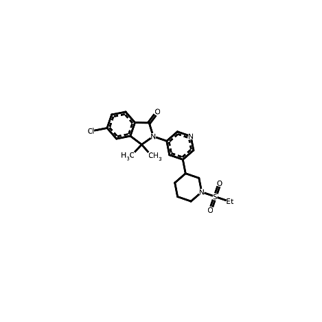 CCS(=O)(=O)N1CCCC(c2cncc(N3C(=O)c4ccc(Cl)cc4C3(C)C)c2)C1